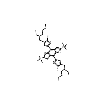 CCCCC(CC)Cc1cc(-c2c3c[c]([Sn]([CH3])([CH3])[CH3])sc3c(-c3cc(CC(CC)CCCC)c(F)s3)c3c[c]([Sn]([CH3])([CH3])[CH3])sc23)sc1F